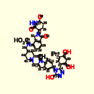 CC(C)c1cc(-c2nnc(O)n2-c2ccc3c(c2)cc(CN2CCC(CN(C(=O)O)c4cccc5c4CN(C4CCC(=O)NC4=O)C5=O)CC2)n3C)c(O)cc1O